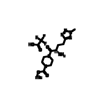 CCCCOC(=O)N1CCN(C(=O)[C@@H](N)CCc2nnn(C)n2)CC1.O=C(O)C(F)(F)F